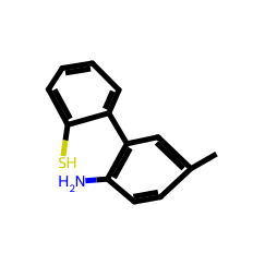 Cc1ccc(N)c(-c2ccccc2S)c1